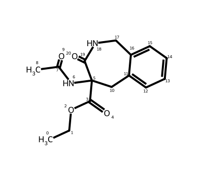 CCOC(=O)C1(NC(C)=O)Cc2ccccc2CNC1=O